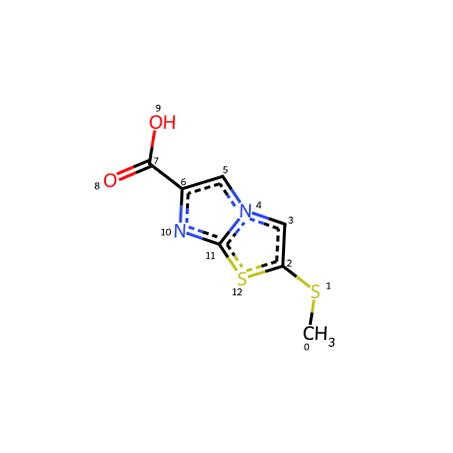 CSc1cn2cc(C(=O)O)nc2s1